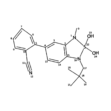 CN1c2cc(-c3ccccc3C#N)ccc2N(CC(C)(C)C)S1(O)O